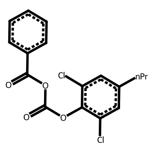 CCCc1cc(Cl)c(OC(=O)OC(=O)c2ccccc2)c(Cl)c1